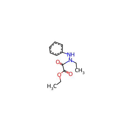 CCOC(=O)C(=O)N(CC)Nc1ccccc1